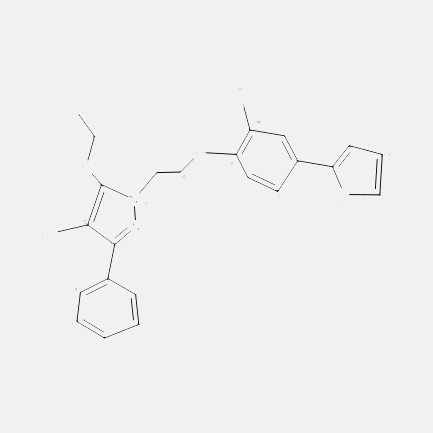 CCOc1c(F)c(-c2ccccc2)nn1CCOc1ccc(-c2cccs2)cc1Cl